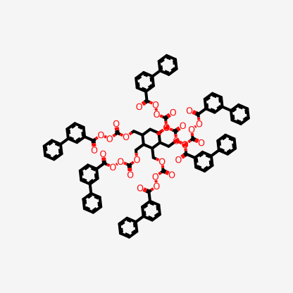 O=C(OCCC(COC(=O)OOC(=O)c1cccc(-c2ccccc2)c1)C(COC(=O)OOC(=O)c1cccc(-c2ccccc2)c1)C(COC(=O)OOC(=O)c1cccc(-c2ccccc2)c1)C(CCOC(=O)OOC(=O)c1cccc(-c2ccccc2)c1)COC(=O)OOC(=O)c1cccc(-c2ccccc2)c1)OOC(=O)c1cccc(-c2ccccc2)c1